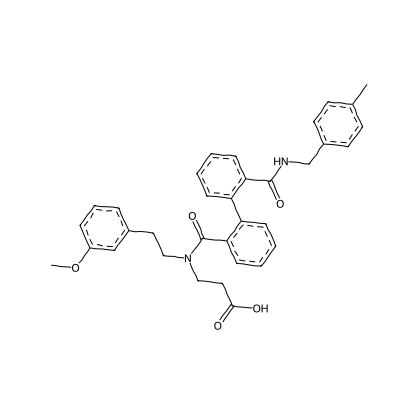 COc1cccc(CCN(CCC(=O)O)C(=O)c2ccccc2-c2ccccc2C(=O)NCc2ccc(C)cc2)c1